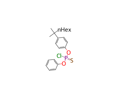 CCCCCCC(C)(C)c1ccc(OP(=S)(Cl)Oc2ccccc2)cc1